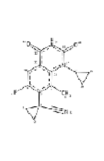 Cc1c(C2(C#N)CC2)c(F)cc2c(=O)[nH]c(=O)n(C3CC3)c12